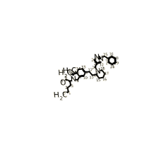 C=CCCC(C=O)N1CC2=CC(CCC3CCCCN3Cc3cnn(Cc4ccccc4)c3)=CCC2(C)C1=C